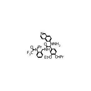 CCOc1cc(C(C(=O)NCc2ccccc2N(C(=O)C(F)(F)F)C(C)C)N(N)c2ccc3cnccc3c2)ccc1OC(C)C